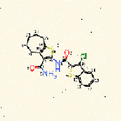 NC(=O)c1c(NC(=O)c2sc3ccccc3c2Cl)sc2c1CCCCC2